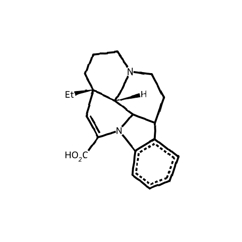 CC[C@@]12C=C(C(=O)O)N3c4ccccc4C4CCN(CCC1)[C@@H]2C43